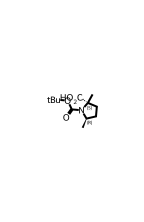 C[C@@H]1CC[C@@](C)(C(=O)O)N1C(=O)OC(C)(C)C